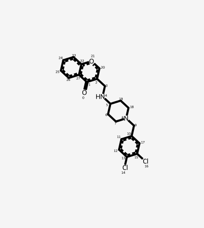 O=c1c(CNC2CCN(Cc3ccc(Cl)c(Cl)c3)CC2)coc2ccccc12